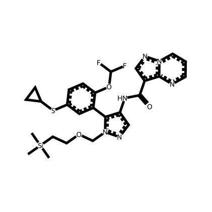 C[Si](C)(C)CCOCn1ncc(NC(=O)c2cnn3cccnc23)c1-c1cc(SC2CC2)ccc1OC(F)F